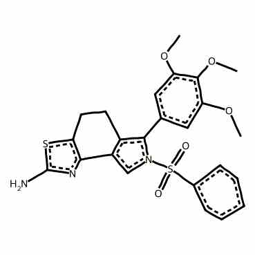 COc1cc(-c2c3c(cn2S(=O)(=O)c2ccccc2)-c2nc(N)sc2CC3)cc(OC)c1OC